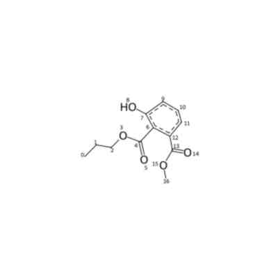 CCCOC(=O)c1c(O)cccc1C(=O)OC